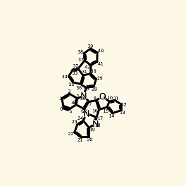 c1ccc2c(c#1)c1c(c3oc4ccccc4c3c3nc4ccccc4n31)n2-c1ccc2c3c(cccc13)-c1ccccc1-2